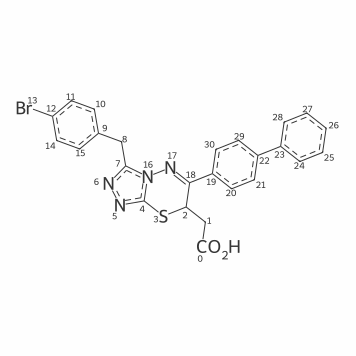 O=C(O)CC1Sc2nnc(Cc3ccc(Br)cc3)n2N=C1c1ccc(-c2ccccc2)cc1